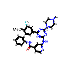 COc1ccc(-c2nc(Nc3cc(C(=O)Nc4ccccc4)ccn3)nc(N3CCN(C)CC3)n2)cc1F